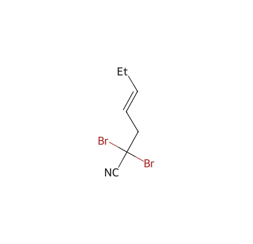 CCC=CCC(Br)(Br)C#N